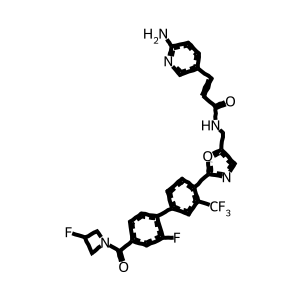 Nc1ccc(C=CC(=O)NCc2cnc(-c3ccc(-c4ccc(C(=O)N5CC(F)C5)cc4F)cc3C(F)(F)F)o2)cn1